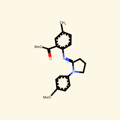 COC(=O)c1cc(C)ccc1/N=C1\CCCN1c1ccc(OC)cc1